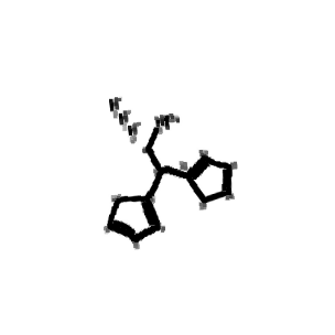 [H-].[H-].[H-].[Hf+3][CH2]C(C1=CC=CC1)C1=CC=CC1